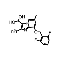 CCCc1nc2c(OCc3c(F)cccc3F)cc(C)cn2c1C(O)O